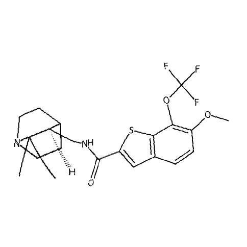 COc1ccc2cc(C(=O)N[C@@H]3C4CCN(CC4)C3(C)C)sc2c1OC(F)(F)F